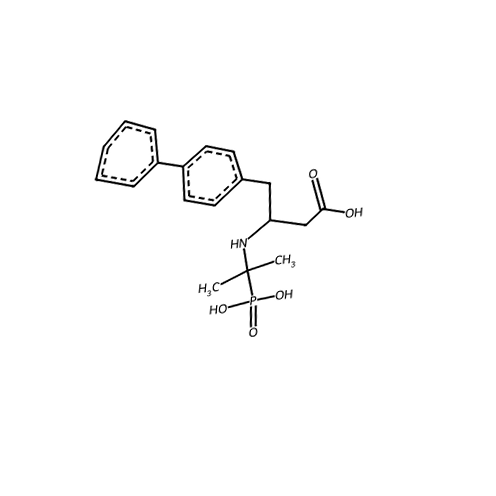 CC(C)(NC(CC(=O)O)Cc1ccc(-c2ccccc2)cc1)P(=O)(O)O